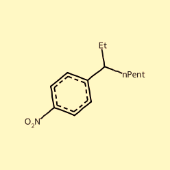 CCCCCC(CC)c1ccc([N+](=O)[O-])cc1